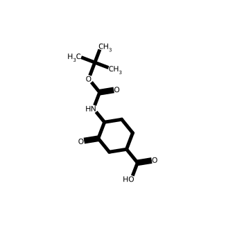 CC(C)(C)OC(=O)NC1CCC(C(=O)O)CC1=O